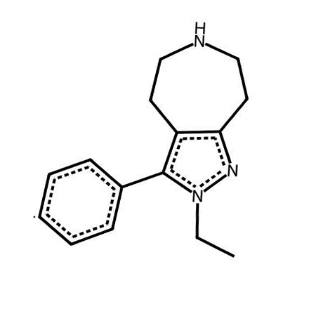 CCn1nc2c(c1-c1cc[c]cc1)CCNCC2